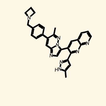 Cc1cc(-c2nc3ncccc3cc2-c2cnc3cc(-c4ccc(CN5CCC5)cc4)c(C)nn23)n[nH]1